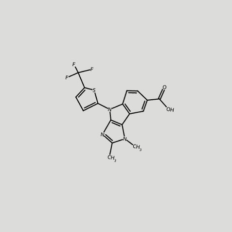 Cc1nc2c(c3cc(C(=O)O)ccc3n2-c2ccc(C(F)(F)F)s2)n1C